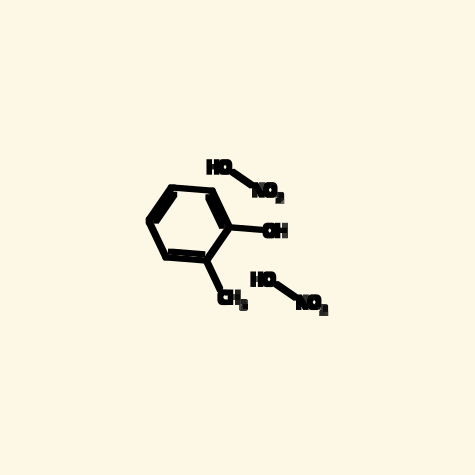 Cc1ccccc1O.O=[N+]([O-])O.O=[N+]([O-])O